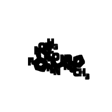 COC1(c2nc(-c3ncn4c3c(=O)n(C(C)CO)c3c(C#N)c(F)ccc34)no2)CCCC1